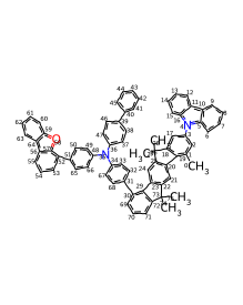 Cc1cc(-n2c3ccccc3c3ccccc32)cc2c1-c1cc3c(cc1C2(C)C)-c1c(-c2ccc(N(c4ccc(-c5ccccc5)cc4)c4ccc(-c5cccc6c5oc5ccccc56)cc4)cc2)cccc1C3(C)C